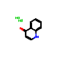 Cl.Cl.O=c1cc[nH]c2ccccc12